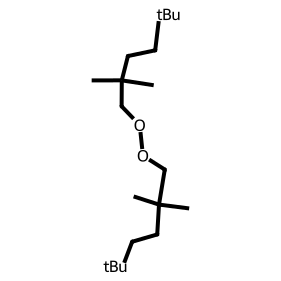 CC(C)(C)CCC(C)(C)COOCC(C)(C)CCC(C)(C)C